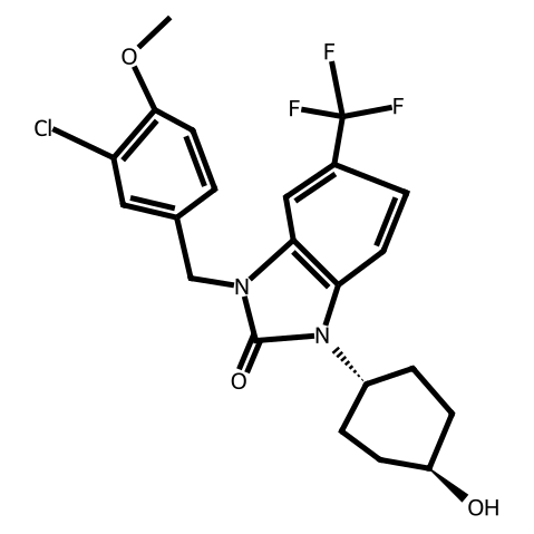 COc1ccc(Cn2c(=O)n([C@H]3CC[C@H](O)CC3)c3ccc(C(F)(F)F)cc32)cc1Cl